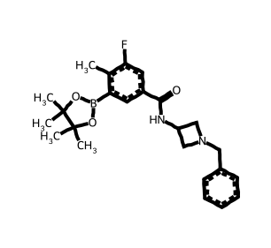 Cc1c(F)cc(C(=O)NC2CN(Cc3ccccc3)C2)cc1B1OC(C)(C)C(C)(C)O1